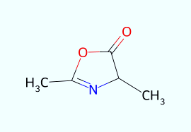 CC1=NC(C)C(=O)O1